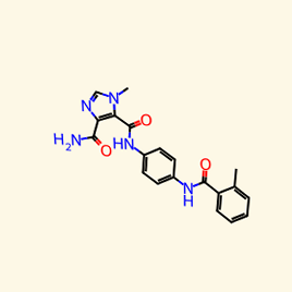 Cc1ccccc1C(=O)Nc1ccc(NC(=O)c2c(C(N)=O)ncn2C)cc1